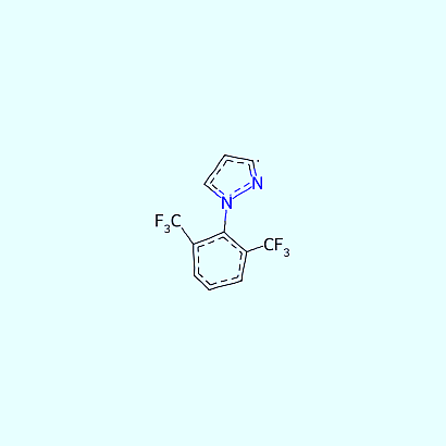 FC(F)(F)c1cccc(C(F)(F)F)c1-n1cc[c]n1